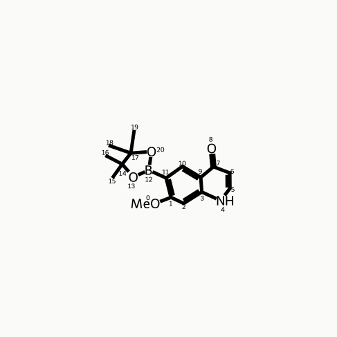 COc1cc2[nH]ccc(=O)c2cc1B1OC(C)(C)C(C)(C)O1